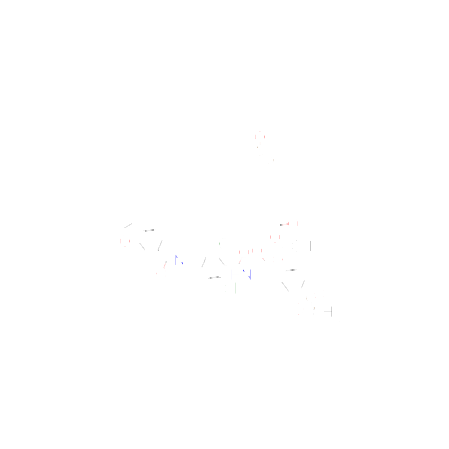 CC(OC(=O)CCCC[C@@H]1CC[S+]([O-])S1)OC(=O)C(Cc1cccc(S(C)(=O)=O)c1)NC(=O)c1c(Cl)cc2c(c1Cl)CCN(C(=O)c1ccc3ccoc3c1)C2